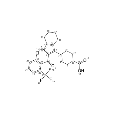 O=C(c1[nH]c2c(c1C1=CCC(C(=O)O)CC1)CCCC2)c1c(Cl)cccc1C(F)(F)F